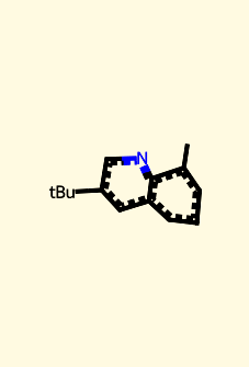 Cc1cccc2cc(C(C)(C)C)cnc12